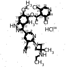 CCNC1(C)CN(c2ncc(-c3n[nH]c4cc(OC)c(O[C@H](C)c5c(Cl)cncc5Cl)cc34)cc2C#N)C1.Cl